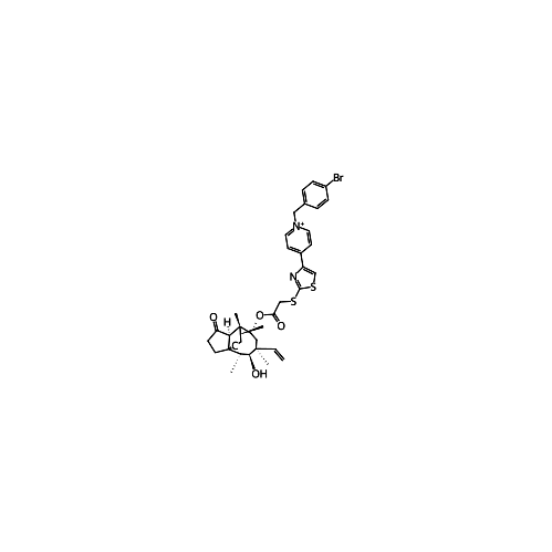 C=C[C@]1(C)C[C@@H](OC(=O)CSc2nc(-c3cc[n+](Cc4ccc(Br)cc4)cc3)cs2)[C@]2(C)[C@H](C)CC[C@]3(CCC(=O)[C@H]32)[C@@H](C)[C@@H]1O